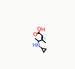 C/C(=C/C(=O)O)C(C)NC1CC1